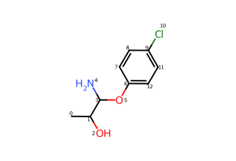 CC(O)C(N)Oc1ccc(Cl)cc1